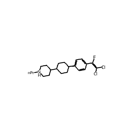 CCC[SiH]1CCC(C2CCC(c3ccc(C(F)=C(Cl)Cl)cc3)CC2)CC1